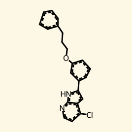 Clc1ccnc2[nH]c(-c3cccc(OCCCc4ccccc4)c3)cc12